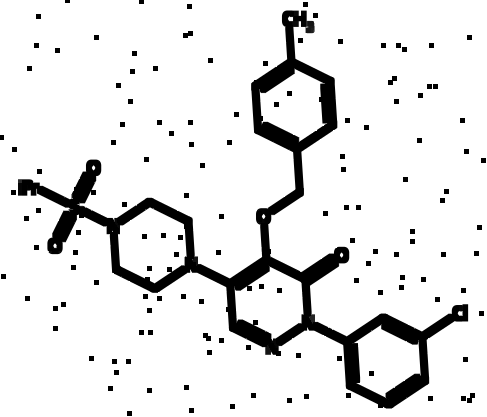 Cc1ccc(COc2c(N3CCN(S(=O)(=O)C(C)C)CC3)cnn(-c3cccc(Cl)c3)c2=O)cc1